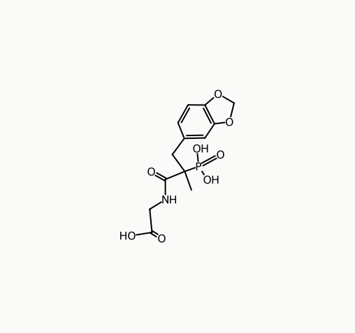 CC(Cc1ccc2c(c1)OCO2)(C(=O)NCC(=O)O)P(=O)(O)O